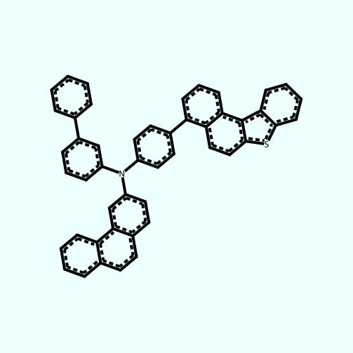 c1ccc(-c2cccc(N(c3ccc(-c4cccc5c4ccc4sc6ccccc6c45)cc3)c3ccc4ccc5ccccc5c4c3)c2)cc1